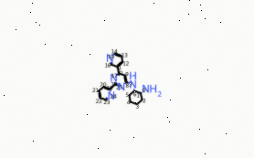 N[C@H]1CCCC[C@@H]1Nc1cc(-c2cccnc2)nc(-c2ccccn2)n1